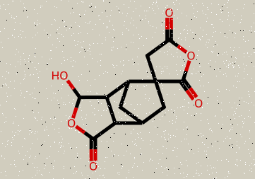 O=C1CC2(CC3CC2C2C(O)OC(=O)C32)C(=O)O1